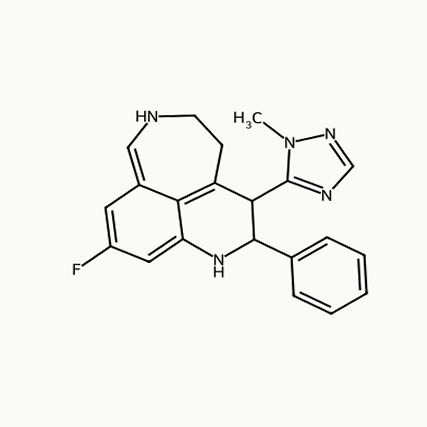 Cn1ncnc1C1C2=c3c(cc(F)cc3=CNCC2)NC1c1ccccc1